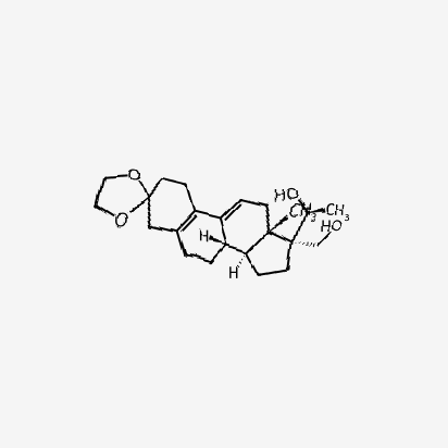 C[C@H](O)[C@@]1(CO)CC[C@H]2[C@@H]3CCC4=C(CCC5(C4)OCCO5)C3=CC[C@@]21C